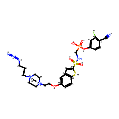 N#Cc1ccc(OP(=O)(O)CNS(=O)(=O)c2cc3cc(OCC[N+]45CC[N+](CCCN=[N+]=[N-])(CC4)CC5)ccc3s2)cc1F